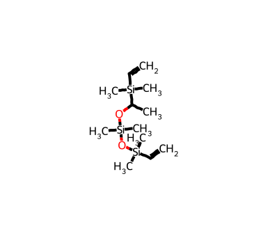 C=C[Si](C)(C)O[Si](C)(C)OC(C)[Si](C)(C)C=C